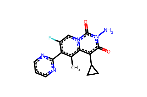 Cc1c(-c2ncccn2)c(F)cn2c(=O)n(N)c(=O)c(C3CC3)c12